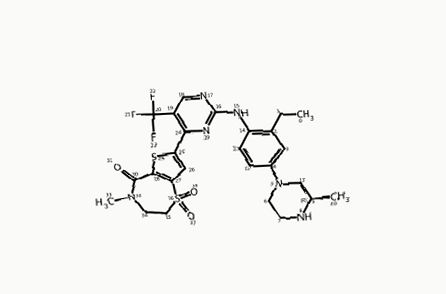 CCc1cc(N2CCN[C@H](C)C2)ccc1Nc1ncc(C(F)(F)F)c(-c2cc3c(s2)C(=O)N(C)CCS3(=O)=O)n1